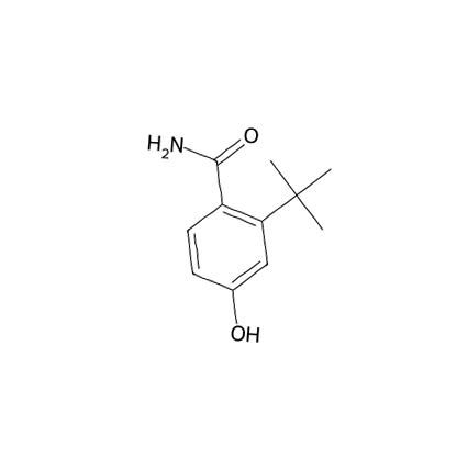 CC(C)(C)c1cc(O)ccc1C(N)=O